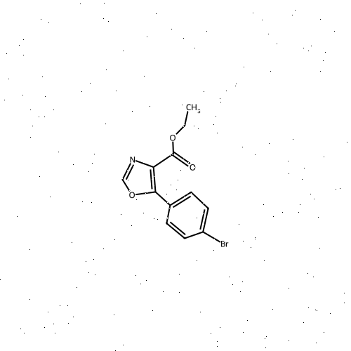 CCOC(=O)c1ncoc1-c1ccc(Br)cc1